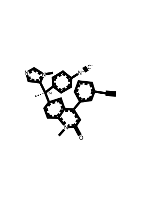 [C-]#[N+]c1ccc([C@@](C)(c2ccc3c(c2)c(-c2cccc(C#C)c2)cc(=O)n3C)c2cncn2C)cc1